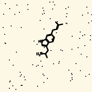 CC(C)=CCc1ccc2c(CC(C)N)c[nH]c2c1